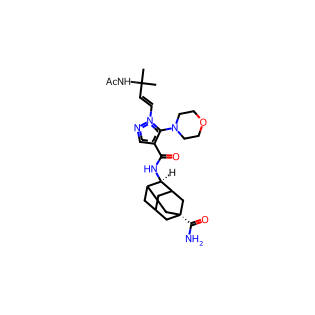 CC(=O)NC(C)(C)/C=C/n1ncc(C(=O)N[C@H]2C3CC4CC2C[C@](C(N)=O)(C4)C3)c1N1CCOCC1